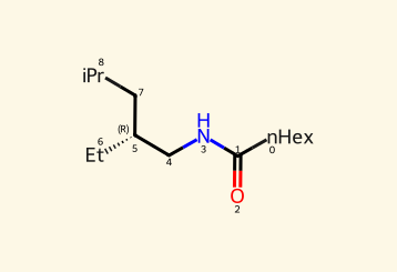 CCCCCCC(=O)NC[C@H](CC)CC(C)C